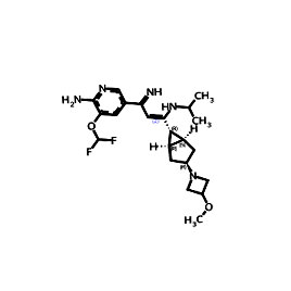 COC1CN([C@H]2C[C@@H]3[C@H](C2)[C@H]3/C(=C/C(=N)c2cnc(N)c(OC(F)F)c2)NC(C)C)C1